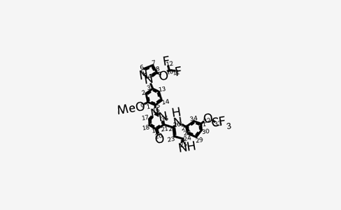 COc1cc(-n2nccc2OC(F)F)ccc1-n1ccc(=O)c(/C(=C/C=N)Nc2cccc(OC(F)(F)F)c2)n1